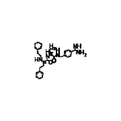 C[C@H](NC(=O)[C@@H](CCc1ccccc1)NCCc1ccccc1)C(=O)NCc1ccc(C(=N)N)cc1